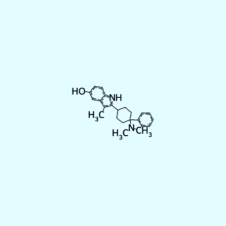 Cc1c(C2CCC(c3ccccc3)(N(C)C)CC2)[nH]c2ccc(O)cc12